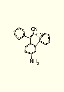 N#CC(C#N)=C(c1ccccc1)c1ccc(N)cc1-c1ccccc1